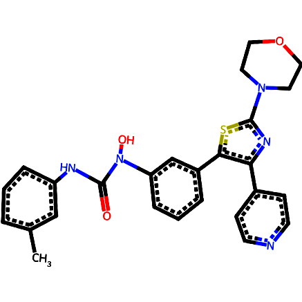 Cc1cccc(NC(=O)N(O)c2cccc(-c3sc(N4CCOCC4)nc3-c3ccncc3)c2)c1